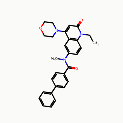 CCn1c(=O)cc(N2CCOCC2)c2cc(N(C)C(=O)c3ccc(-c4ccccc4)cc3)ccc21